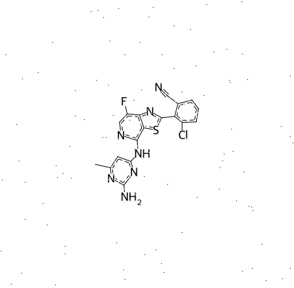 Cc1cc(Nc2ncc(F)c3nc(-c4c(Cl)cccc4C#N)sc23)nc(N)n1